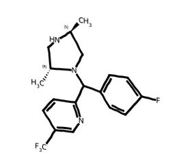 C[C@@H]1CN[C@@H](C)CN1C(c1ccc(F)cc1)c1ccc(C(F)(F)F)cn1